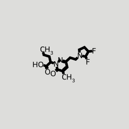 CCCC(C(=O)O)n1nc(CCN2CCC(F)C2F)cc(C)c1=O